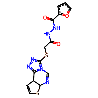 O=C(CSc1nnc2n1C=NC1SC=CC21)NNC(=O)c1ccco1